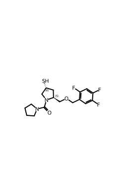 O=C(N1CCCC1)N1C[C@H](S)C[C@H]1COCc1cc(F)c(F)cc1F